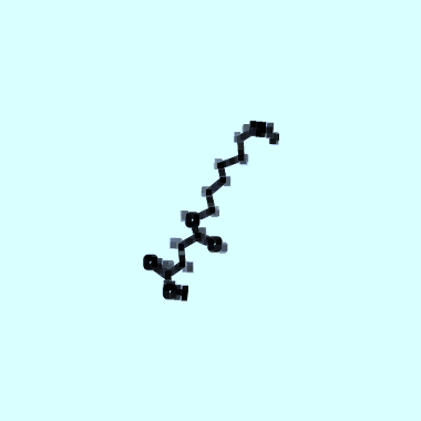 NCCCCCCOC(=O)CCC(=O)O